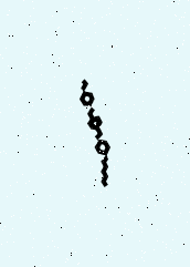 CCCCCCC[C@H]1CC[C@H](CCc2ccc(CC[C@H]3CC[C@H](CCC)CC3)cc2)CC1